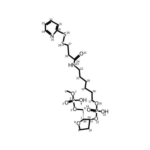 COP(=O)(O)OC[C@H]1OCC[C@@H]1OP(=O)(O)OCCCCCCNC(=O)CCSSc1ccccn1